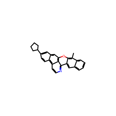 Cc1c2c(cc3ccccc13)-c1nccc3c1c(cc1cc(C4CCCC4)ccc13)O2